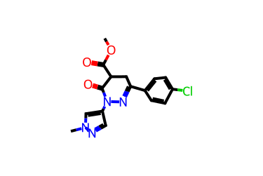 COC(=O)C1CC(c2ccc(Cl)cc2)=NN(c2cnn(C)c2)C1=O